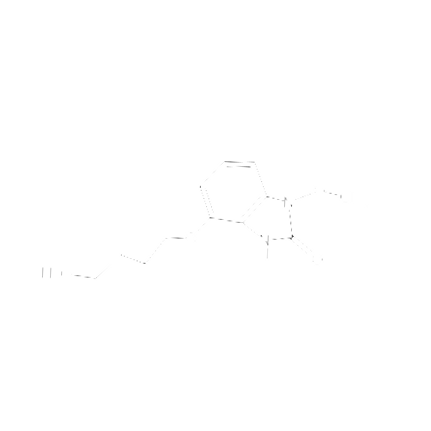 CCCCCOc1cc[c]c2c1[nH]c(=O)n2OC